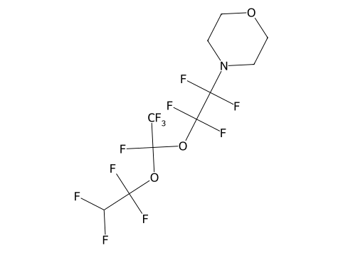 FC(F)C(F)(F)OC(F)(OC(F)(F)C(F)(F)N1CCOCC1)C(F)(F)F